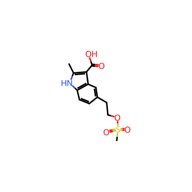 Cc1[nH]c2ccc(CCOS(C)(=O)=O)cc2c1C(=O)O